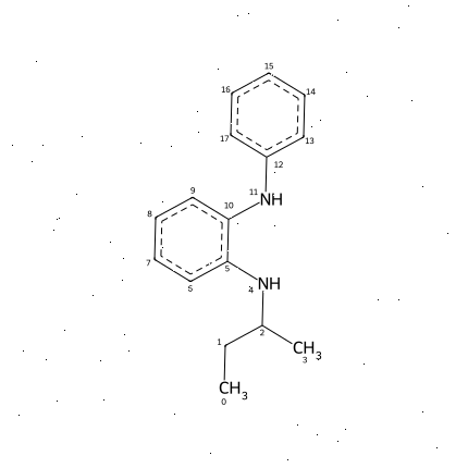 CCC(C)Nc1ccccc1Nc1ccccc1